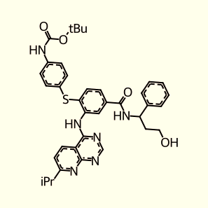 CC(C)c1ccc2c(Nc3cc(C(=O)NC(CCO)c4ccccc4)ccc3Sc3ccc(NC(=O)OC(C)(C)C)cc3)ncnc2n1